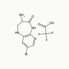 NC1CNc2cc(Br)cnc2NC1=O.O=C(O)C(F)(F)F